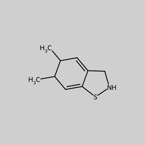 CC1C=C2CNSC2=CC1C